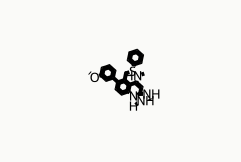 CNC1=CC(NC)(NC)Nc2ccc(-c3cccc(OC)c3)c(CSc3ccccc3)c21